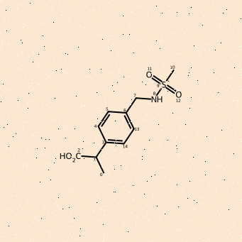 CC(C(=O)O)c1ccc(CNS(C)(=O)=O)cc1